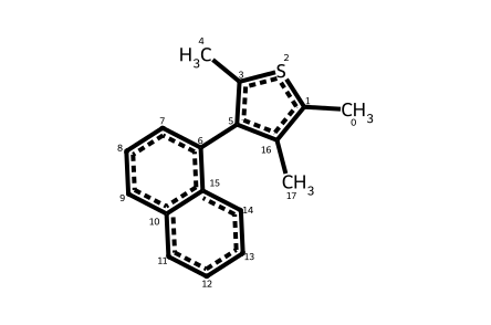 Cc1sc(C)c(-c2cccc3ccccc23)c1C